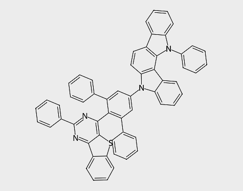 c1ccc(-c2nc(-c3c(-c4ccccc4)cc(-n4c5ccccc5c5c4ccc4c6ccccc6n(-c6ccccc6)c45)cc3-c3ccccc3)c3sc4ccccc4c3n2)cc1